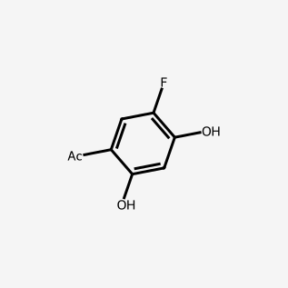 CC(=O)c1cc(F)c(O)cc1O